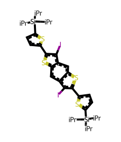 CC(C)[Si](c1ccc(-c2sc3cc4c(I)c(-c5ccc([Si](C(C)C)(C(C)C)C(C)C)s5)sc4cc3c2I)s1)(C(C)C)C(C)C